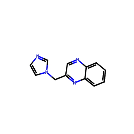 c1ccc2nc(Cn3ccnc3)cnc2c1